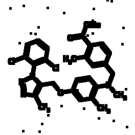 COC(=O)c1ccc(CN(C)c2ccc(OCc3c(C(F)(F)F)nnn3-c3c(Cl)cccc3Cl)cc2C)cc1C